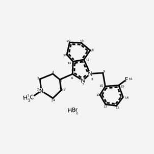 Br.CN1CCC(c2nn(Cc3ccccc3F)c3ccccc23)CC1